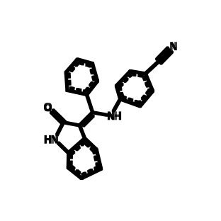 N#Cc1ccc(NC(=C2C(=O)Nc3ccccc32)c2ccccc2)cc1